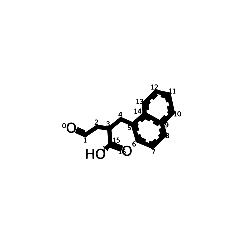 O=CCC(Cc1cccc2ccccc12)C(=O)O